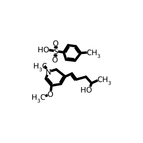 COC1=CN(C)CC(C=CCC(C)O)=C1.Cc1ccc(S(=O)(=O)O)cc1